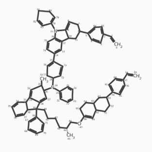 C=Cc1ccc(C2CC=C3C(C2)c2cc(C4=CCC(N(c5ccccc5)C5C=C6C(=CC5C)C5C=CC=CC5C6(CCCC[C@@H](C)COC5=CC6CCC(c7ccc(C=C)cc7)CC6CC5)c5ccccc5)C=C4)ccc2N3C2=CCCC=C2)cc1